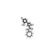 COc1cc(F)ccc1-c1c[nH]c(C(=O)NC2CCCCCCC2)c1